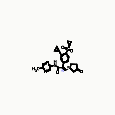 Cc1cnc(NC(=O)/C(=C/[C@@H]2CCC(=O)C2)c2ccc(S(=O)(=O)C3CC3)c(C3CC3)c2)cn1